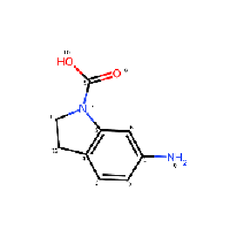 Nc1ccc2c(c1)N(C(=O)O)CC2